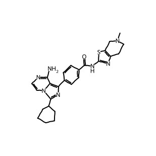 CN1CCc2nc(NC(=O)c3ccc(-c4nc(C5CCCCC5)n5ccnc(N)c45)cc3)sc2C1